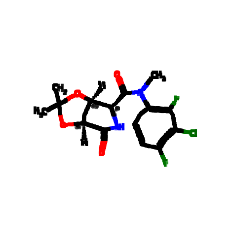 CN(C(=O)[C@H]1NC(=O)[C@H]2OC(C)(C)O[C@@H]12)c1ccc(F)c(Cl)c1F